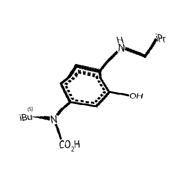 CC[C@H](C)N(C(=O)O)c1ccc(NCC(C)C)c(O)c1